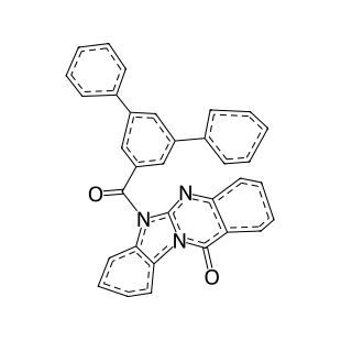 O=C(c1cc(-c2ccccc2)cc(-c2ccccc2)c1)n1c2ccccc2n2c(=O)c3ccccc3nc12